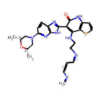 C=N/C=C\C=N/CCNc1c(-c2nc3ccc(N4C[C@@H](C)O[C@@H](C)C4)nc3[nH]2)c(=O)[nH]c2ccsc12